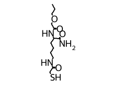 CCCOCC(=O)NC(CCCCNC(=O)CS)C(N)=O